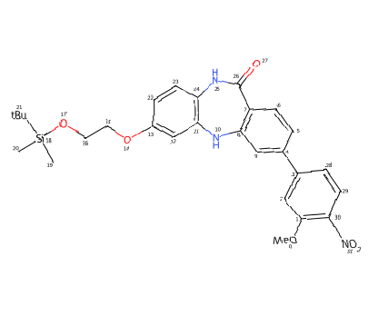 COc1cc(-c2ccc3c(c2)Nc2cc(OCCO[Si](C)(C)C(C)(C)C)ccc2NC3=O)ccc1[N+](=O)[O-]